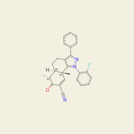 C[C@H]1C(=O)C(C#N)=C[C@@]2(C)c3c(c(-c4ccccc4)nn3-c3ccccc3F)CC[C@H]12